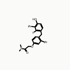 CC(C)c1cc(OCC(=O)N(C)C)ccc1Cc1ccc(O)c(C(C)C)c1F